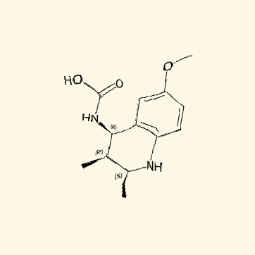 COc1ccc2c(c1)[C@H](NC(=O)O)[C@H](C)[C@H](C)N2